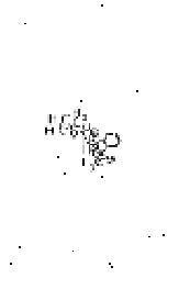 CC(C)(C)OC(=O)NS(=O)(=O)c1ccccc1S(C)(=O)=O